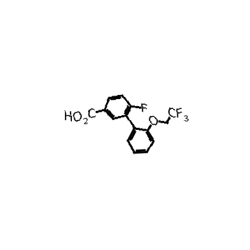 O=C(O)c1ccc(F)c(-c2ccccc2OCC(F)(F)F)c1